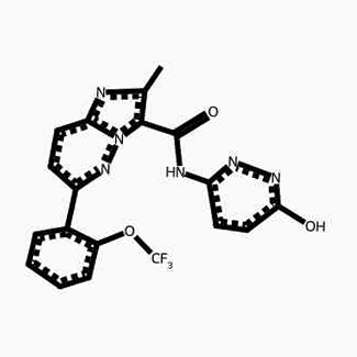 Cc1nc2ccc(-c3ccccc3OC(F)(F)F)nn2c1C(=O)Nc1ccc(O)nn1